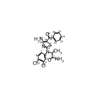 CC(C(N)=O)N(c1ccc(Cl)c(Cl)c1)c1nc(N)c(C(=O)c2ccccc2)s1